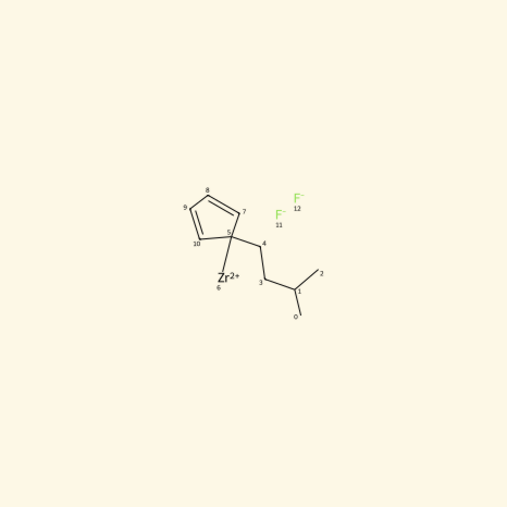 CC(C)CC[C]1([Zr+2])C=CC=C1.[F-].[F-]